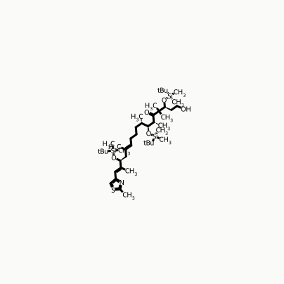 C/C(=C\CCC[C@H](C)[C@H](O[Si](C)(C)C(C)(C)C)[C@@H](C)C(=O)C(C)(C)[C@H](CCO)O[Si](C)(C)C(C)(C)C)C[C@H](O[Si](C)(C)C(C)(C)C)/C(C)=C/c1csc(C)n1